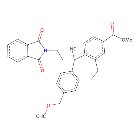 [C-]#[N+]C1(CCN2C(=O)c3ccccc3C2=O)c2ccc(COC=O)cc2CCc2cc(C(=O)OC)ccc21